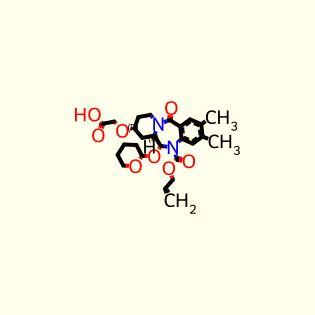 C=CCOC(=O)N1c2cc(C)c(C)cc2C(=O)N2CC[C@@H](OCC(=O)O)C[C@H]2C1OC1CCCCO1